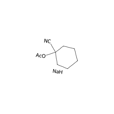 CC(=O)OC1(C#N)CCCCC1.[NaH]